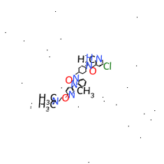 Cc1ncc(Cl)cc1C(=O)NC1CCC(Cn2c(=O)n(-c3ccc(OCCN(C)C)nc3)c3c(C)cccc32)CC1